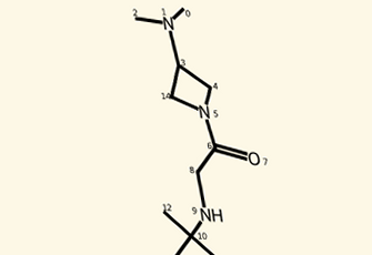 CN(C)C1CN(C(=O)CNC(C)(C)C)C1